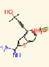 CC(C)(O)C#Cc1cccc2sc(C(=N)N)cc12.Cl.O.O